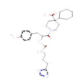 COc1ccc(CC(NC(=S)NCCCc2c[nH]cn2)C(=O)N2CCC(C(=O)O)(C3CCCCC3)CC2)cc1